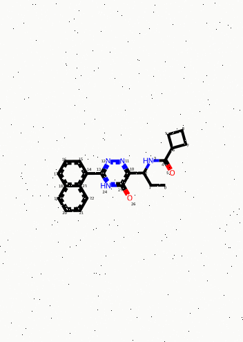 CCC(NC(=O)C1CCC1)c1nnc(-c2cccc3ccccc23)[nH]c1=O